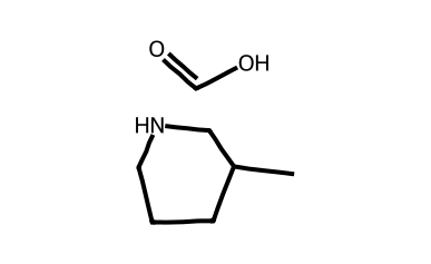 CC1CCCNC1.O=CO